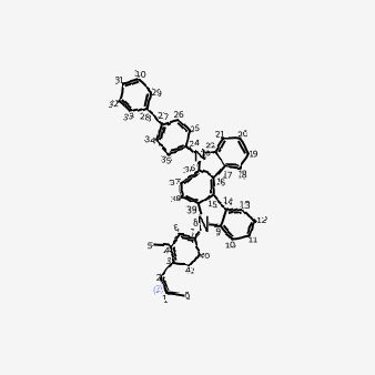 C/C=C\C1=C(C)C=C(n2c3ccccc3c3c4c5ccccc5n(-c5ccc(-c6ccccc6)cc5)c4ccc32)CC1